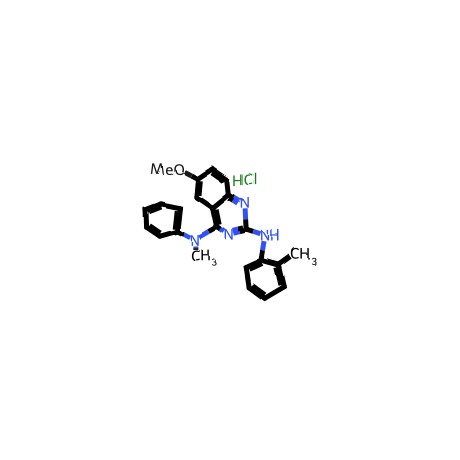 COc1ccc2nc(Nc3ccccc3C)nc(N(C)c3ccccc3)c2c1.Cl